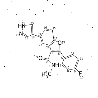 CNC(=O)c1c(-c2ccc(F)cc2)oc2ccc(-c3cn[nH]c3)cc12